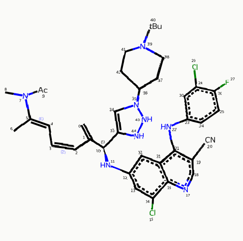 C=C(/C=C\C=C(/C)N(C)C(C)=O)[C@H](Nc1cc(Cl)c2ncc(C#N)c(Nc3ccc(F)c(Cl)c3)c2c1)C1=CN(C2CCN(C(C)(C)C)CC2)NN1